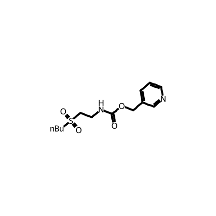 CCCCS(=O)(=O)CCNC(=O)OCc1cccnc1